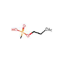 CC(=O)OCCOP(C)(=O)O